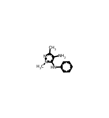 Cc1nn(C)c(Nc2ccccc2)c1N